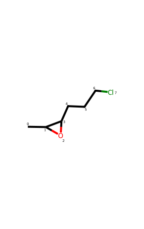 CC1OC1CCCCl